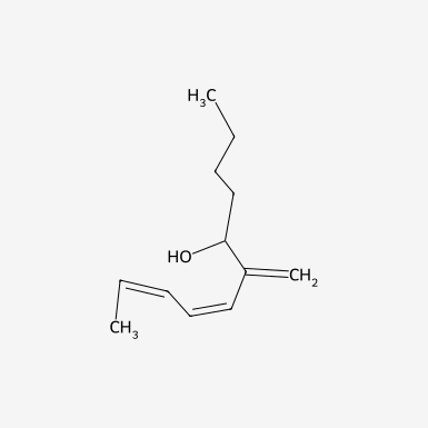 C=C(/C=C\C=C/C)C(O)CCCC